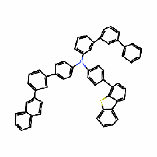 c1ccc(-c2cccc(-c3cccc(N(c4ccc(-c5cccc(-c6ccc7ccccc7c6)c5)cc4)c4ccc(-c5cccc6c5sc5ccccc56)cc4)c3)c2)cc1